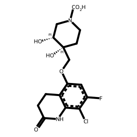 O=C1CCc2c(OC[C@]3(O)CCN(C(=O)O)C[C@H]3O)cc(F)c(Cl)c2N1